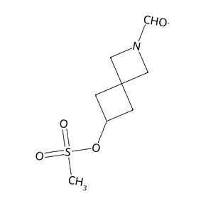 CS(=O)(=O)OC1CC2(C1)CN([C]=O)C2